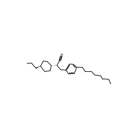 CCCCCCCCc1ccc(CC(C#N)[C@H]2CC[C@H](CCC)CC2)cc1